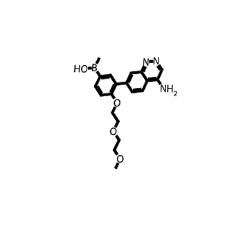 COCCOCCOc1ccc(B(C)O)cc1-c1ccc2c(N)cnnc2c1